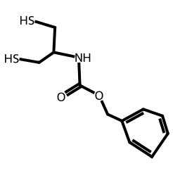 O=C(NC(CS)CS)OCc1ccccc1